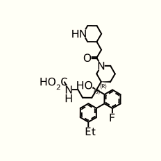 CCc1cccc(-c2c(F)cccc2[C@](O)(CCCNC(=O)O)[C@@H]2CCCN(C(=O)CC3CCCNC3)C2)c1